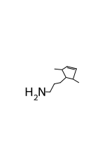 CC1C=CC(C)C1CCCN